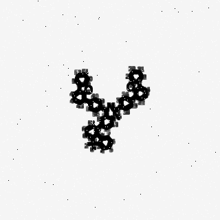 CC1(C)c2ccccc2-c2c(-c3ccc4nc(-c5ccc(-c6cccc7c6oc6ccccc67)cc5)nc(-c5ccc(-c6cccc7c6oc6ccccc67)cc5)c4c3)cccc21